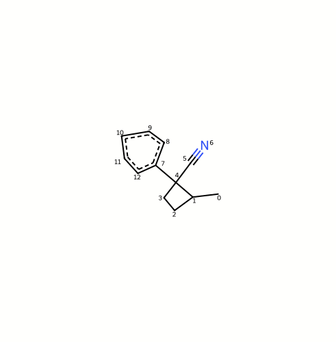 CC1CCC1(C#N)c1ccccc1